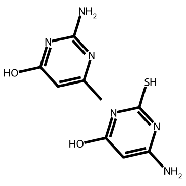 Cc1cc(O)nc(N)n1.Nc1cc(O)nc(S)n1